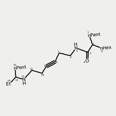 CCCCCCC(CCCCC)C(=O)NCCC#CCCNC(CC)CCCCC